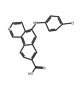 O=C(O)c1ccc2c(c1)cc(Nc1ccc(Cl)cc1)c1ccncc12